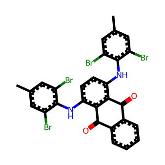 Cc1cc(Br)c(Nc2ccc(Nc3c(Br)cc(C)cc3Br)c3c2C(=O)c2ccccc2C3=O)c(Br)c1